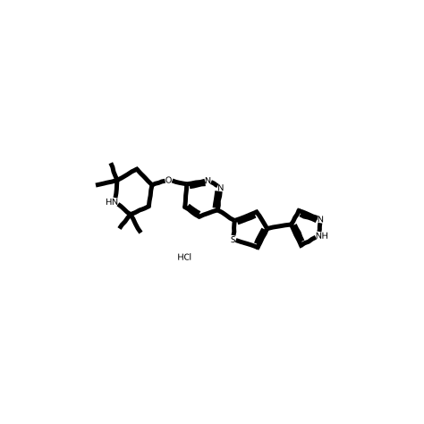 CC1(C)CC(Oc2ccc(-c3cc(-c4cn[nH]c4)cs3)nn2)CC(C)(C)N1.Cl